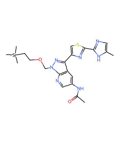 CC(=O)Nc1cnc2c(c1)c(-c1csc(-c3ncc(C)[nH]3)n1)nn2COCC[Si](C)(C)C